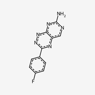 Nc1ncc2nc(-c3ccc(F)cc3)nnc2n1